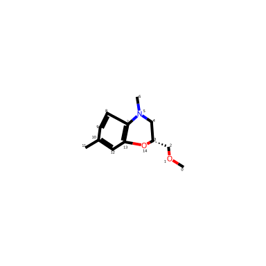 COC[C@H]1CN(C)c2ccc(C)cc2O1